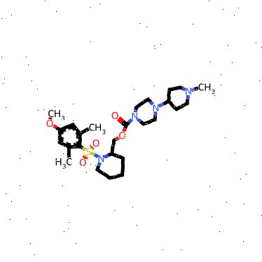 COc1cc(C)c(S(=O)(=O)N2CCCCC2COC(=O)N2CCN(C3CCN(C)CC3)CC2)c(C)c1